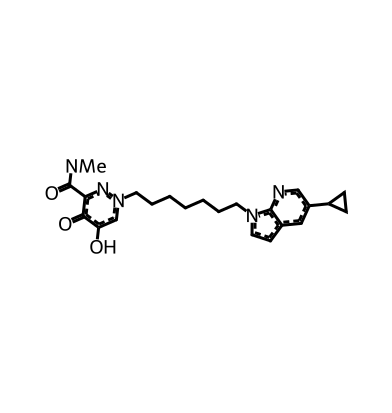 CNC(=O)c1nn(CCCCCCCn2ccc3cc(C4CC4)cnc32)cc(O)c1=O